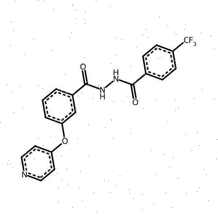 O=C(NNC(=O)c1cccc(Oc2ccncc2)c1)c1ccc(C(F)(F)F)cc1